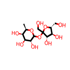 C[C@H]1OC(OC2(CO)O[C@H](CO)[C@@H](O)[C@@H]2O)[C@H](O)[C@@H](O)[C@H]1O